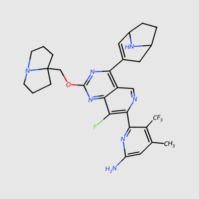 Cc1cc(N)nc(-c2ncc3c(C4=CC5CCC(C4)N5)nc(OCC45CCCN4CCC5)nc3c2F)c1C(F)(F)F